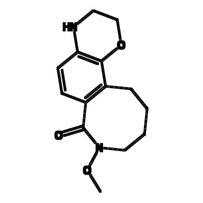 CON1CCCCc2c(ccc3c2OCCN3)C1=O